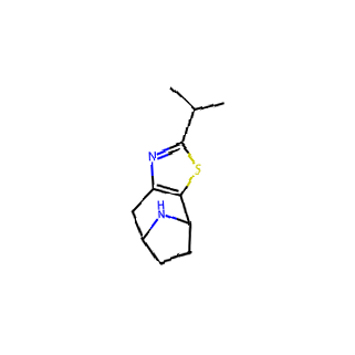 CC(C)c1nc2c(s1)C1CCC(C2)N1